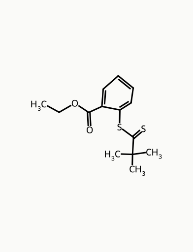 CCOC(=O)c1ccccc1SC(=S)C(C)(C)C